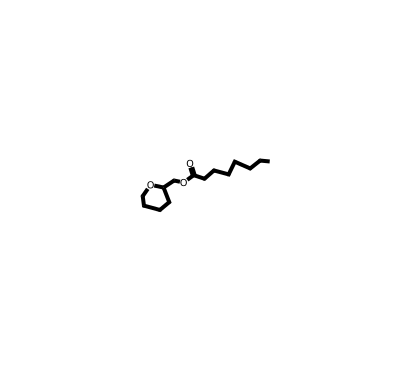 CCCCCCCC(=O)OCC1CCCCO1